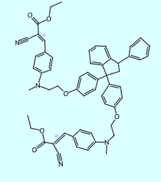 CCOC(=O)/C(C#N)=C/c1ccc(N(C)CCOc2ccc(C3(c4ccc(OCCN(C)c5ccc(/C=C(\C#N)C(=O)OCC)cc5)cc4)CC(c4ccccc4)c4ccccc43)cc2)cc1